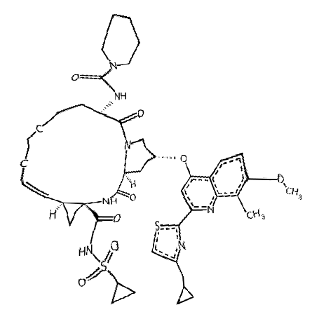 COc1ccc2c(O[C@@H]3C[C@H]4C(=O)N[C@]5(C(=O)NS(=O)(=O)C6CC6)C[C@H]5/C=C\CCCCC[C@H](NC(=O)N5CCCCC5)C(=O)N4C3)cc(-c3nc(C4CC4)cs3)nc2c1C